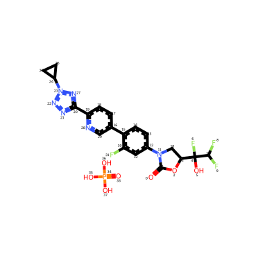 O=C1OC(C(O)(F)C(F)F)CN1c1ccc(-c2ccc(-c3nnn(C4CC4)n3)nc2)c(F)c1.O=P(O)(O)O